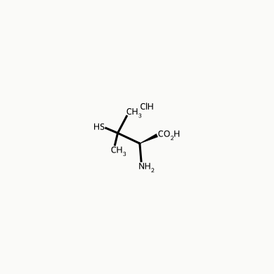 CC(C)(S)[C@H](N)C(=O)O.Cl